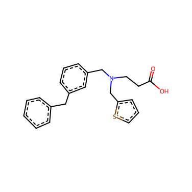 O=C(O)CCN(Cc1cccc(Cc2ccccc2)c1)Cc1cccs1